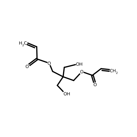 C=CC(=O)OCC(CO)(CO)COC(=O)C=C